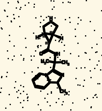 CC1N=C(C(C)(C)NC(=O)[C@H]2[C@@H]3CNC[C@@H]32)N2C=CC=CC12